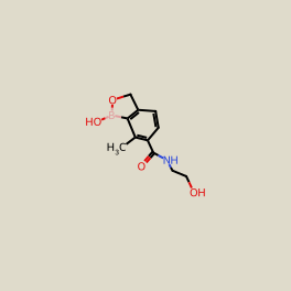 Cc1c(C(=O)NCCO)ccc2c1B(O)OC2